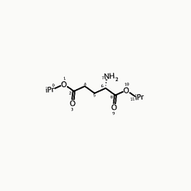 CC(C)OC(=O)CC[C@H](N)C(=O)OC(C)C